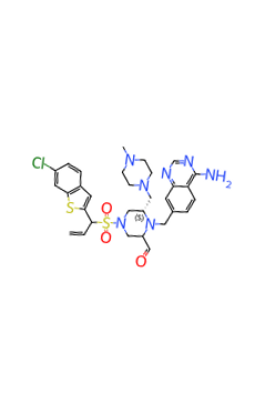 C=CC(c1cc2ccc(Cl)cc2s1)S(=O)(=O)N1CC(C=O)N(Cc2ccc3c(N)ncnc3c2)[C@@H](CN2CCN(C)CC2)C1